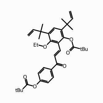 C=CC(C)(C)c1cc(C(C)(C)C=C)c(OC(=O)C(C)(C)C)c(/C=C/C(=O)c2ccc(OC(=O)C(C)(C)C)cc2)c1OCC